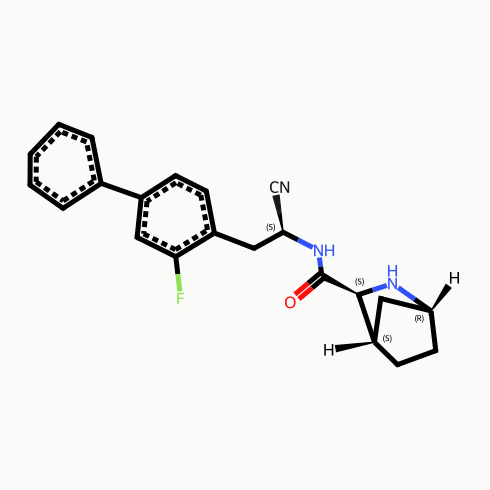 N#C[C@H](Cc1ccc(-c2ccccc2)cc1F)NC(=O)[C@H]1N[C@@H]2CC[C@H]1C2